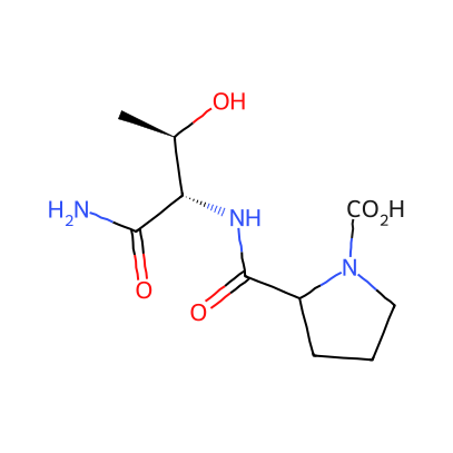 C[C@@H](O)[C@H](NC(=O)C1CCCN1C(=O)O)C(N)=O